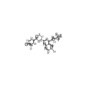 Cc1nc2nc([C@@H]3CCO[C@H](c4ccc(=O)n(C)c4)C3)cc(C34CC(C(F)(F)F)(C3)C4)c2nc1C